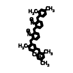 Cc1ccc(Cc2cc(Cc3cccc(Cc4cccc(Cc5ccc(C)cc5C)c4N=O)c3N=O)c(C)cc2C)c(C)c1